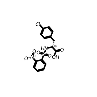 O=C(O)[C@@H](Cc1ccc(Cl)cc1)NS(=O)(=O)c1ccccc1[N+](=O)[O-]